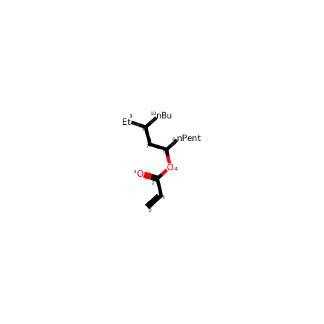 C=CC(=O)OC(CCCCC)CC(CC)CCCC